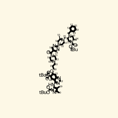 Cc1nn(C(=O)OC(C)(C)C)c(Nc2ncnc3cc(OCCCN4CCN(C(=O)c5cnc(N6CCN(C[C@H]7CN(C(=O)OC(C)(C)C)[C@H](C)CN7Cc7ccccc7)[C@H](C)C6)nc5)CC4)c(S(=O)(=O)C(C)(C)C)cc23)c1C